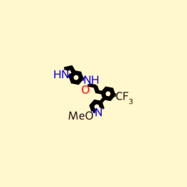 COc1ccc(-c2cc(C(F)(F)F)ccc2C=CC(=O)Nc2ccc3[nH]ccc3c2)cn1